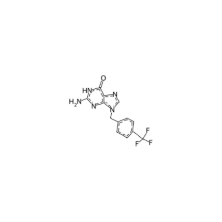 Nc1nc2c(ncn2Cc2ccc(C(F)(F)F)cc2)c(=O)[nH]1